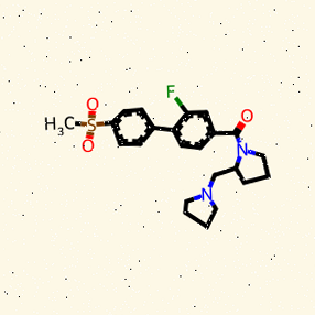 CS(=O)(=O)c1ccc(-c2ccc(C(=O)N3CCCC3CN3CCCC3)cc2F)cc1